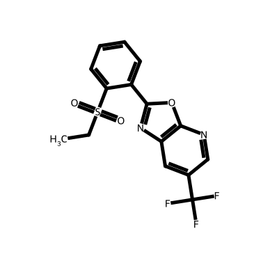 CCS(=O)(=O)c1ccccc1-c1nc2cc(C(F)(F)F)cnc2o1